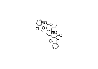 CCCCC(CC(Oc1ccccc1Cl)C(=O)O)OC(CCCC)CC(Oc1ccccc1Cl)C(=O)O